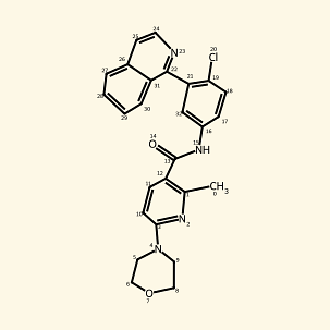 Cc1nc(N2CCOCC2)ccc1C(=O)Nc1ccc(Cl)c(-c2nccc3ccccc23)c1